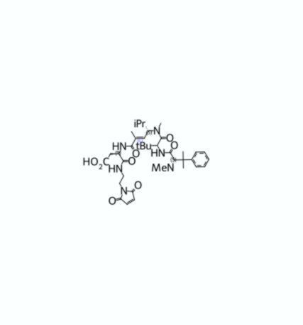 CN[C@H](C(=O)NC(C(=O)N(C)[C@H](/C=C(\C)C(=O)N[C@H](CC(=O)O)C(=O)NCCN1C(=O)C=CC1=O)C(C)C)C(C)(C)C)C(C)(C)c1ccccc1